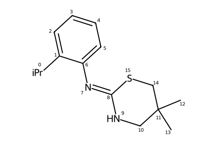 CC(C)c1ccccc1N=C1NCC(C)(C)CS1